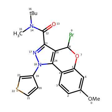 COc1ccc2c(c1)OC(Br)c1c(C(=O)N(C)C(C)(C)C)nn(-c3ccsc3)c1-2